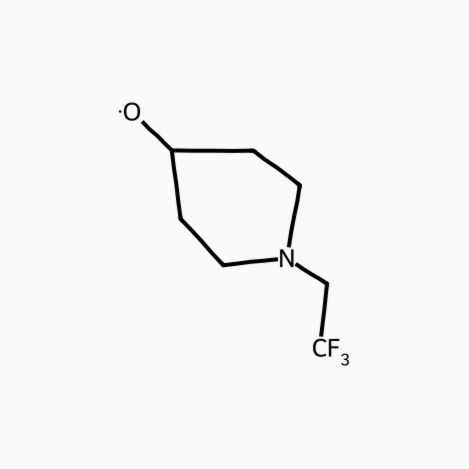 [O]C1CCN(CC(F)(F)F)CC1